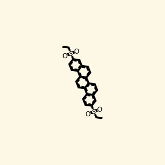 CCS(=O)(=O)c1ccc2c(ccc3c2ccc2c4ccc(S(=O)(=O)CC)cc4ccc23)c1